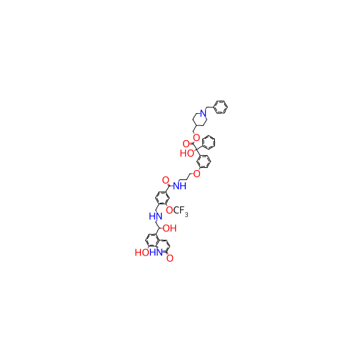 O=C(NCCCOc1cccc(C(O)(C(=O)OCC2CCN(Cc3ccccc3)CC2)c2ccccc2)c1)c1ccc(CNCC(O)c2ccc(O)c3[nH]c(=O)ccc23)c(OC(F)(F)F)c1